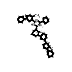 Cc1cc2oc3ccccc3c2cc1C(NCC1=CC=CC2c3cc(-c4ccc5c(c4)oc4ccccc45)ccc3OC12)NC(N)c1ccccc1